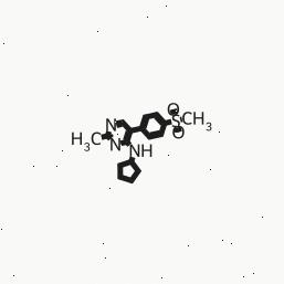 Cc1ncc(-c2ccc(S(C)(=O)=O)cc2)c(NC2CCCC2)n1